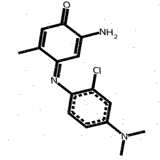 CC1=CC(=O)C(N)=CC1=Nc1ccc(N(C)C)cc1Cl